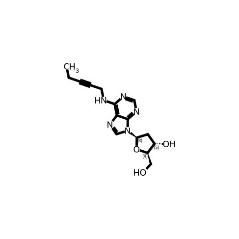 CCC#CCNc1ncnc2c1ncn2[C@H]1C[C@H](O)[C@@H](CO)O1